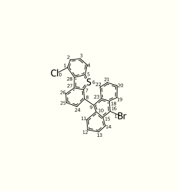 Clc1cccc2sc3c(-c4c5ccccc5c(Br)c5ccccc45)cccc3c12